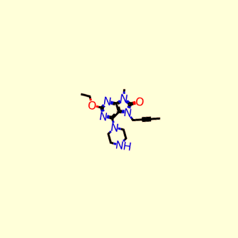 CC#CCn1c(=O)n(C)c2nc(OCC)nc(N3CCNCC3)c21